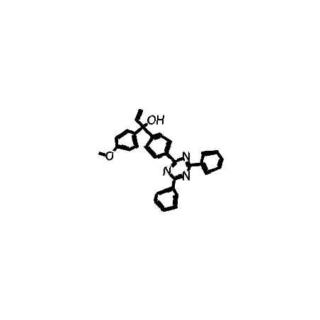 C=CC(O)(c1ccc(OC)cc1)c1ccc(-c2nc(-c3ccccc3)nc(-c3ccccc3)n2)cc1